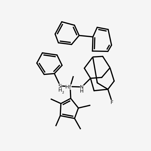 CC1=C(C)C(C)[C]([Hf]([CH3])([NH]C23CC4CC(CC(F)(C4)C2)C3)[SiH2]c2ccccc2)=C1C.c1ccc(-c2ccccc2)cc1